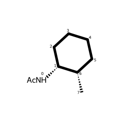 CC(=O)N[C@@H]1CCCC[C@@H]1C